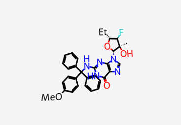 CC[C@H]1O[C@@H](n2cnc3c(=O)[nH]c(NC(c4ccccc4)(c4ccccc4)c4ccc(OC)cc4)nc32)[C@](C)(O)[C@@H]1F